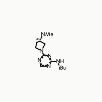 CCC(C)Nc1ncnc(N2CC[C@@H](NC)C2)n1